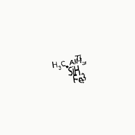 C[SiH3].[AlH3].[Fe].[Ti]